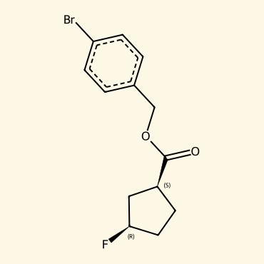 O=C(OCc1ccc(Br)cc1)[C@H]1CC[C@@H](F)C1